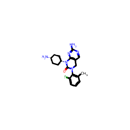 Cc1cccc(F)c1N1Cc2cnc(N)nc2N([C@H]2CC[C@@H](N)CC2)C1=O